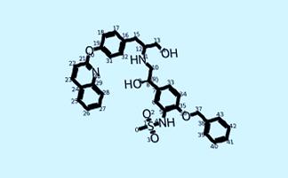 CS(=O)(=O)Nc1cc([C@@H](O)CNC(CO)Cc2ccc(Oc3ccc4ccccc4n3)cc2)ccc1OCc1ccccc1